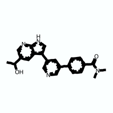 CC(O)c1cnc2[nH]cc(-c3cncc(-c4ccc(C(=O)N(C)C)cc4)c3)c2c1